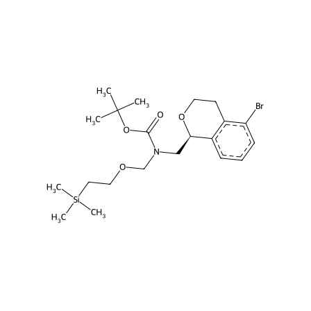 CC(C)(C)OC(=O)N(COCC[Si](C)(C)C)C[C@H]1OCCc2c(Br)cccc21